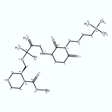 C=C(CNC1CCC(=O)N(COCC[Si](C)(C)C)C1=O)C(C)(OC[C@@H]1COCCN1C(=O)OC(C)(C)C)C(C)C